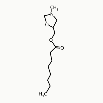 CCCCCCCC(=O)OCC1CN(C)CO1